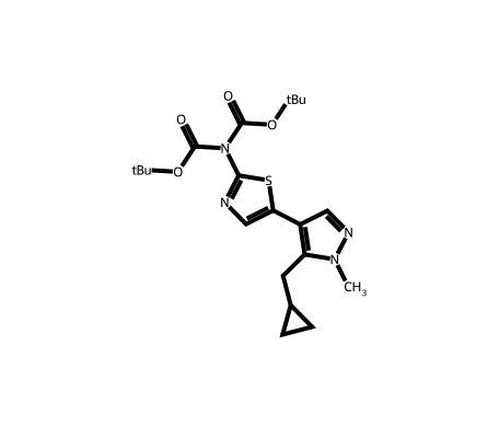 Cn1ncc(-c2cnc(N(C(=O)OC(C)(C)C)C(=O)OC(C)(C)C)s2)c1CC1CC1